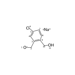 [Na+].[O-]Cc1cc(Cl)ccc1CO